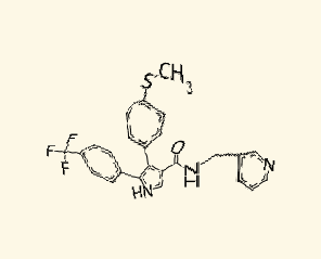 CSc1ccc(-c2c(C(=O)NCc3cccnc3)c[nH]c2-c2ccc(C(F)(F)F)cc2)cc1